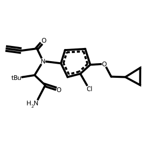 C#CC(=O)N(c1ccc(OCC2CC2)c(Cl)c1)C(C(N)=O)C(C)(C)C